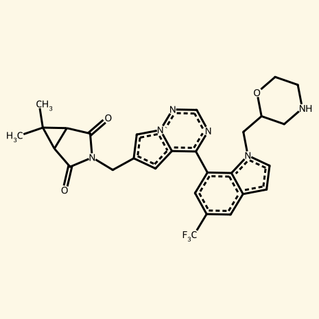 CC1(C)C2C(=O)N(Cc3cc4c(-c5cc(C(F)(F)F)cc6ccn(CC7CNCCO7)c56)ncnn4c3)C(=O)C21